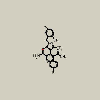 Cc1ccc(C#N)c(Cn2nc(C(F)(F)F)c(-c3c(C(N)=O)nc4cc(F)ccc4c3C(N)=O)c2C)c1